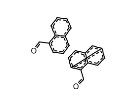 O=Cc1c2ccc3cc2ccc13.O=Cc1cccc2ccccc12